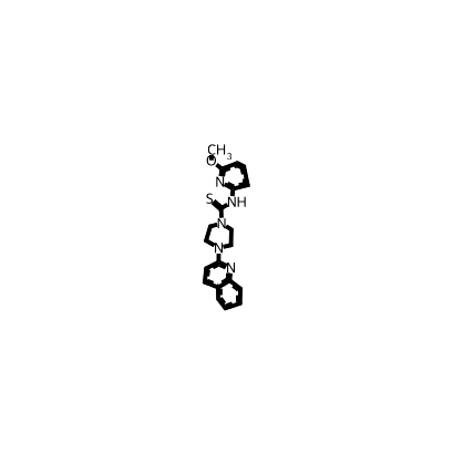 COc1cccc(NC(=S)N2CCN(c3ccc4ccccc4n3)CC2)n1